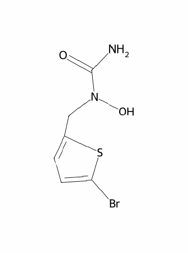 NC(=O)N(O)Cc1ccc(Br)s1